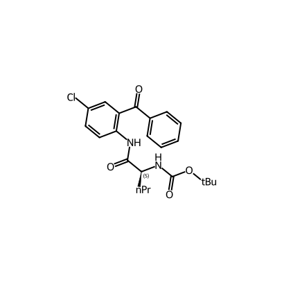 CCC[C@H](NC(=O)OC(C)(C)C)C(=O)Nc1ccc(Cl)cc1C(=O)c1ccccc1